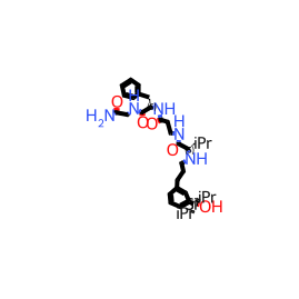 CC(C)[C@H](NCCCc1cccc([Si](O)(C(C)C)C(C)C)c1)C(=O)NCCC(=O)N[C@@H](Cc1ccccc1)C(=O)NCC(N)=O